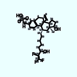 C=CC12CCc3cc(NS(=O)(=O)O)ccc3C1[C@@H](CCCCC[C@@H](O)C(F)=C(F)F)C[C@@]1(C)C2CC[C@@H]1O